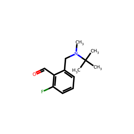 CN(Cc1cccc(F)c1C=O)C(C)(C)C